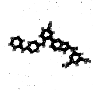 Cc1cc(Nc2cc3cc(-c4cc(Cl)ncc4OC4CCC(OC5CCCCO5)CC4)ccn3n2)nc(C)n1